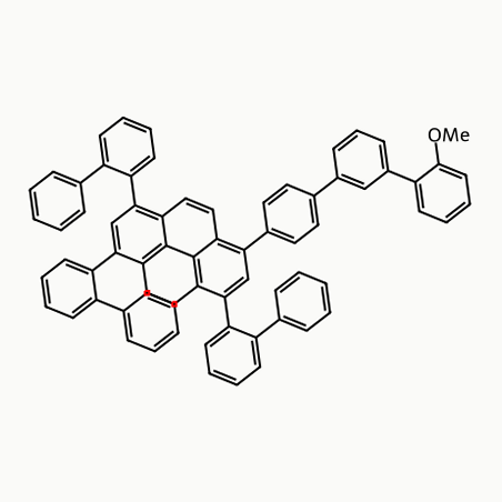 COc1ccccc1-c1cccc(-c2ccc(-c3cc(-c4ccccc4-c4ccccc4)c4c5c3ccc3c(-c6ccccc6-c6ccccc6)cc(-c6ccccc6-c6ccccc6)c(c35)CC4)cc2)c1